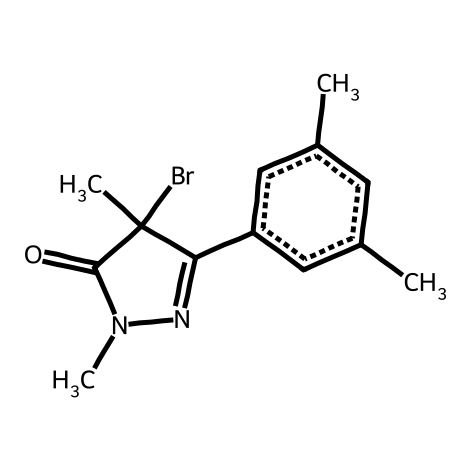 Cc1cc(C)cc(C2=NN(C)C(=O)C2(C)Br)c1